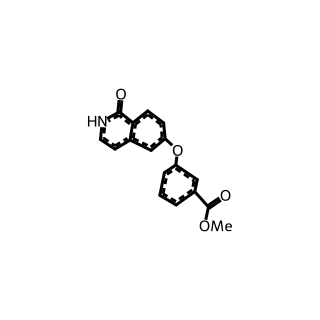 COC(=O)c1cccc(Oc2ccc3c(=O)[nH]ccc3c2)c1